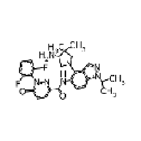 CC(C)n1ncc2c(N3C[C@@H](N)C(C)(C)C3)c(NC(=O)c3ccc(=O)n(-c4c(F)cccc4F)n3)ccc21